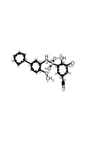 COc1ccc(-c2ccccc2)cc1NS(=O)(=O)c1cc(C#N)cc(Cl)c1O